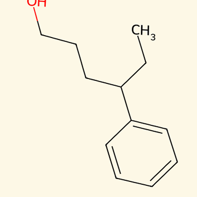 CCC(CCCO)c1ccccc1